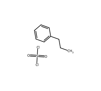 CCCc1ccccc1.O=S(=O)(Cl)Cl